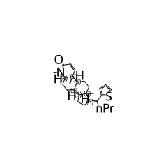 CCCC(c1cccs1)[C@H]1CC[C@H]2[C@@H]3CC[C@H]4N(C)C(=O)C=C[C@]4(C)[C@H]3CC[C@]12C